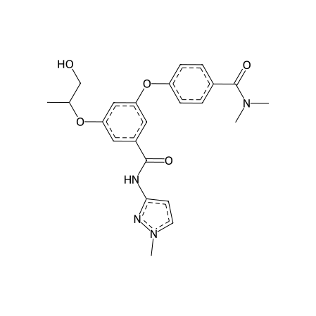 CC(CO)Oc1cc(Oc2ccc(C(=O)N(C)C)cc2)cc(C(=O)Nc2ccn(C)n2)c1